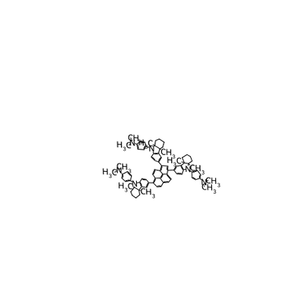 CN(C)c1ccc(N2c3ccc(-c4ccc5ccc6c(-c7ccc8c(c7)C7(C)CCCCC7(C)N8c7ccc(N(C)C)cc7)cc(-c7ccc8c(c7)C7(C)CCCCC7(C)N8c7ccc(N(C)C)cc7)c7ccc4c5c67)cc3C3(C)CCCCC23C)cc1